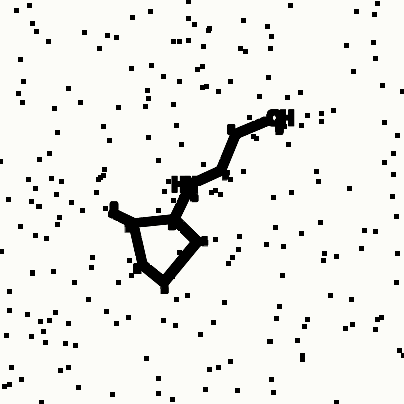 CC1CCCC1NCCO